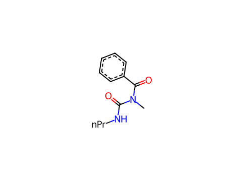 CCCNC(=O)N(C)C(=O)c1ccccc1